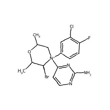 CC1C[N+](c2ccc(F)c(Cl)c2)(c2ccnc(N)n2)C(Br)C(C)O1